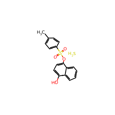 Cc1ccc(S(=O)(=O)Oc2ccc(O)c3ccccc23)cc1.S